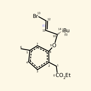 CCOC(=O)Cc1ccc(C)cc1OC(/C=C/Br)[C@@H](C)CC